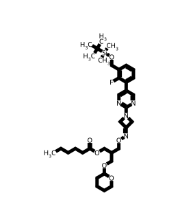 CCCCCC(=O)OCC(CON=C1CN(c2ncc(-c3cccc(CO[Si](C)(C)C(C)(C)C)c3F)cn2)C1)COC1CCCCO1